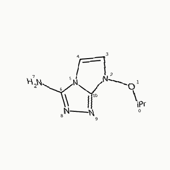 CC(C)On1ccn2c(N)nnc12